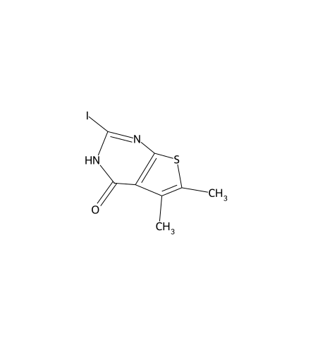 Cc1sc2nc(I)[nH]c(=O)c2c1C